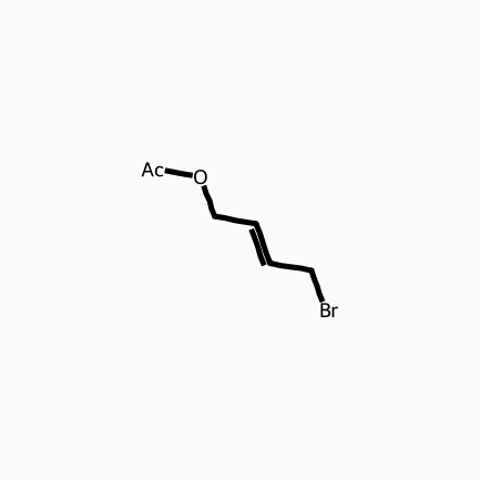 CC(=O)OCC=CCBr